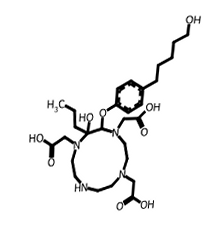 CCCC1(O)C(Oc2ccc(CCCCCO)cc2)N(CC(=O)O)CCN(CC(=O)O)CCNCCN1CC(=O)O